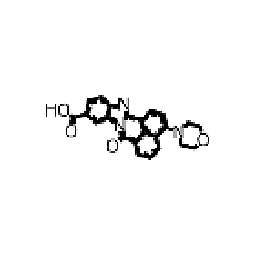 O=C(O)c1ccc2nc3c4ccc(N5CCOCC5)c5cccc(c(=O)n3c2c1)c54